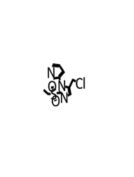 CCS(=O)(=O)c1ncc(CCl)n1-c1cccnc1